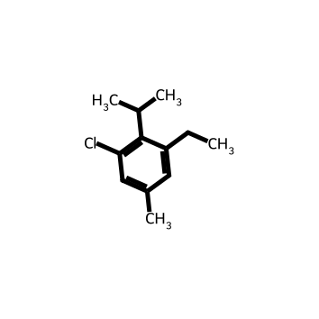 CCc1cc(C)cc(Cl)c1C(C)C